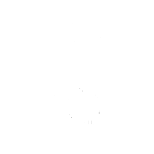 CC(C)SN(C(=O)N(C)C)c1ccc(Cl)c(Cl)c1